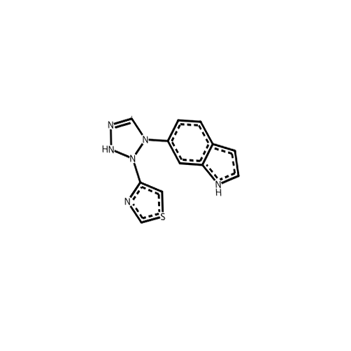 [C]1=NNN(c2cscn2)N1c1ccc2cc[nH]c2c1